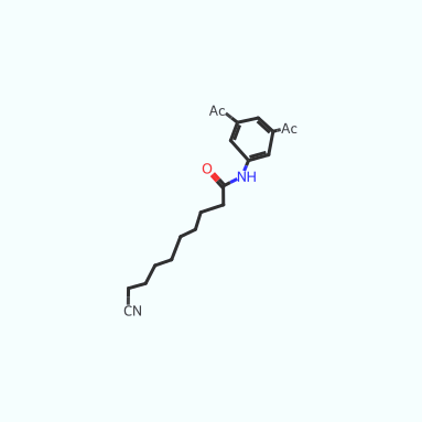 CC(=O)c1cc(NC(=O)CCCCCCCCC#N)cc(C(C)=O)c1